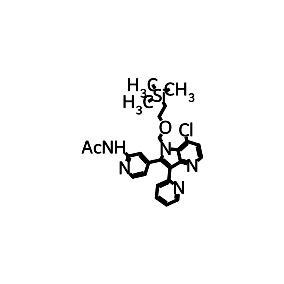 CC(=O)Nc1cc(-c2c(-c3ccccn3)c3nccc(Cl)c3n2COCC[Si](C)(C)C)ccn1